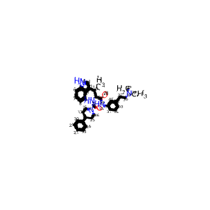 C[C@H](c1c[nH]c2ccccc12)[C@@H](NC(=O)N1CCC(c2ccccc2)CC1)C(=O)Nc1cccc(CCN(C)C)c1